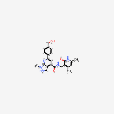 Cc1cc(C)c(CNC(=O)c2cc(-c3ccc(CO)cc3)nc3c2CNN3C(C)C)c(=O)[nH]1